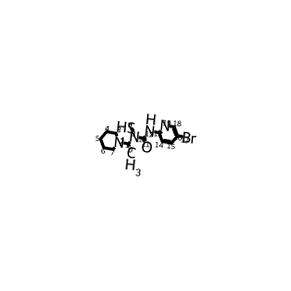 CC(N1CCCCC1)N(S)C(=O)Nc1ccc(Br)cn1